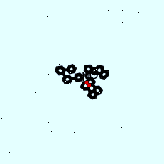 c1ccc(-c2ccccc2-c2cccc(-c3ccc(N(c4ccc(-c5cccc6cccc(-c7ccccc7)c56)cc4)c4cccc5c4oc4c6ccccc6ccc54)cc3)c2)cc1